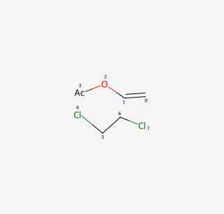 C=COC(C)=O.ClCCCl